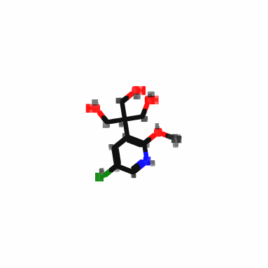 CCOc1ncc(Br)cc1C(CO)(CO)CO